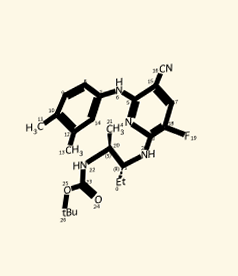 CC[C@@H](Nc1nc(Nc2ccc(C)c(C)c2)c(C#N)cc1F)[C@H](C)NC(=O)OC(C)(C)C